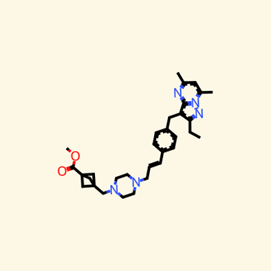 CCc1nn2c(C)cc(C)nc2c1Cc1ccc(/C=C/CN2CCN(CC34CC(C(=O)OC)(C3)C4)CC2)cc1